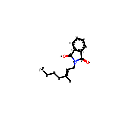 C/C(=C\CN1C(=O)c2ccccc2C1=O)CCCC(C)C